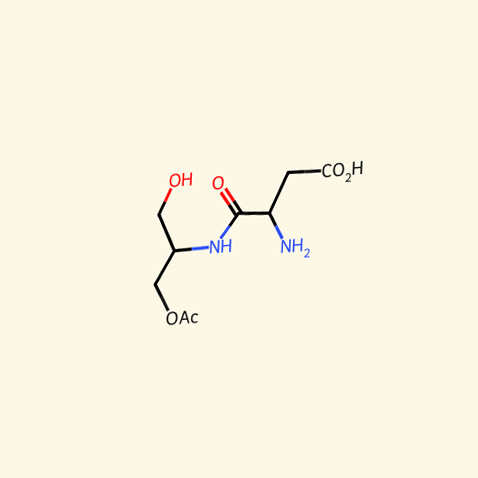 CC(=O)OCC(CO)NC(=O)C(N)CC(=O)O